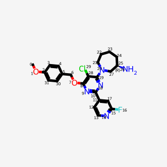 COc1ccc(COc2nc(-c3ccnc(F)c3)nc(N3CCCC[C@@H](N)C3)c2Cl)cc1